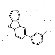 Cc1cccc(C2=CC3c4ccccc4OC3C=C2)c1